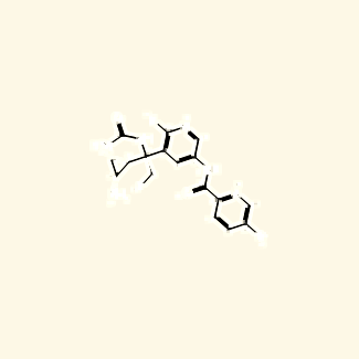 NC(=O)N[C@](CF)(c1cc(NC(=O)c2ccc(Br)cn2)cnc1F)[C@H]1C[C@H]1N